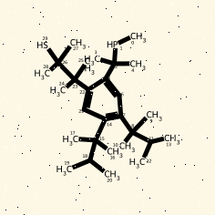 CPC(C)(C)c1cc(C(C)(C)C(C)C)c(C(C)(C)C(C)C)cc1C(C)(C)C(C)(C)S